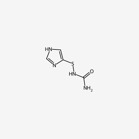 NC(=O)NSc1c[nH]cn1